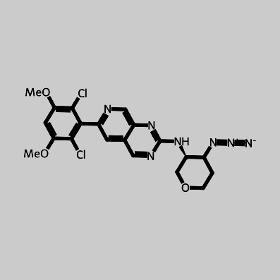 COc1cc(OC)c(Cl)c(-c2cc3cnc(N[C@@H]4COCCC4N=[N+]=[N-])nc3cn2)c1Cl